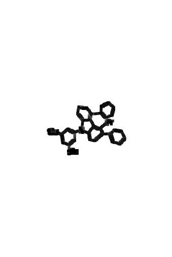 CC(C)c1c(-c2ccccc2)ccc2c1c1c(-c3ccccc3)cccc1n2-c1cc(C(C)(C)C)cc(C(C)(C)C)c1